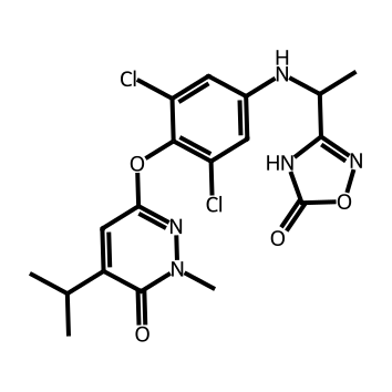 CC(C)c1cc(Oc2c(Cl)cc(NC(C)c3noc(=O)[nH]3)cc2Cl)nn(C)c1=O